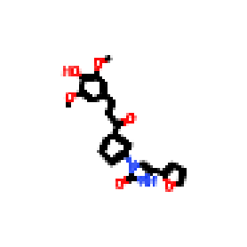 COc1cc(C=CC(=O)c2cccc(-n3cc(-c4ccco4)[nH]c3=O)c2)cc(OC)c1O